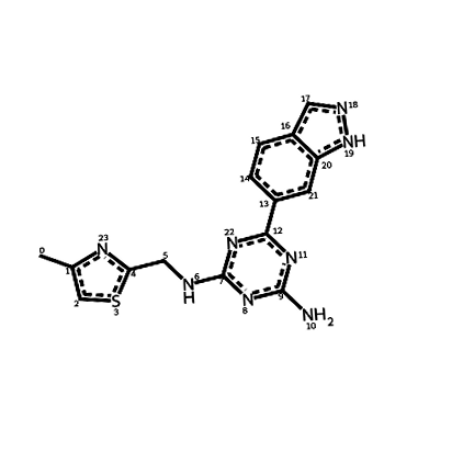 Cc1csc(CNc2nc(N)nc(-c3ccc4cn[nH]c4c3)n2)n1